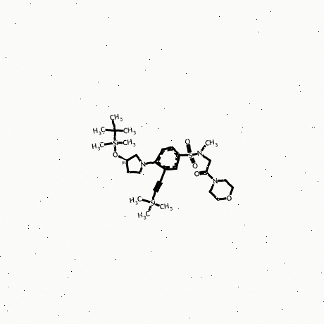 CN(CC(=O)N1CCOCC1)S(=O)(=O)c1ccc(N2CC[C@@H](O[Si](C)(C)C(C)(C)C)C2)c(C#C[Si](C)(C)C)c1